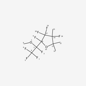 COC(F)(C(F)(F)F)C1(F)OC(C)(C)C(C)(F)C1(F)F